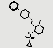 CC(=O)N1CCC[C@H](NS(=O)(=O)C2CC2)[C@@H]1CO[C@H]1CC[C@@H](c2ccccc2)CC1